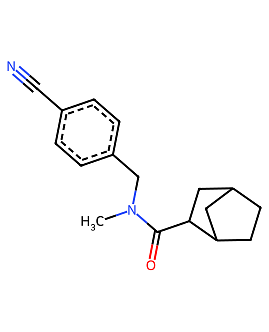 CN(Cc1ccc(C#N)cc1)C(=O)C1CC2CCC1C2